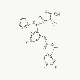 CC(OC(=O)Nc1cc(F)sc1-c1cc(C2(C(=O)O)CC2)ccc1-c1ccccc1)c1ccc(F)c(F)c1